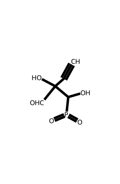 C#CC(O)(C=O)C(O)P(=O)=O